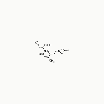 Cc1cc(=O)n(C(CC2CC2)C(=O)O)nc1CCN1CC(F)C1